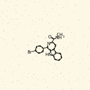 CNC(=O)c1cc2c([nH]c3ccccc32)c(-c2ccc(Br)cc2)n1